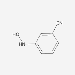 N#Cc1cccc(NO)c1